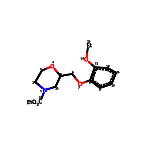 CCOC(=O)N1CCOC(COc2ccccc2OCC)C1